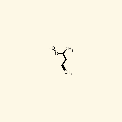 C=CCC(C)OO